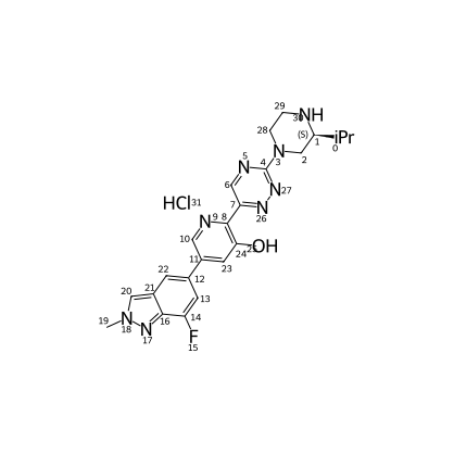 CC(C)[C@H]1CN(c2ncc(-c3ncc(-c4cc(F)c5nn(C)cc5c4)cc3O)nn2)CCN1.Cl